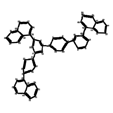 c1cc(-c2ccc(-c3cc(-c4cccc5ccccc45)nc(-c4ccc(-c5cccc6ccccc56)cc4)n3)cc2)cc(-c2cncc3ccccc23)c1